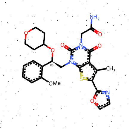 COc1ccccc1[C@H](Cn1c(=O)n(CC(N)=O)c(=O)c2c(C)c(-c3ncco3)sc21)OC1CCOCC1